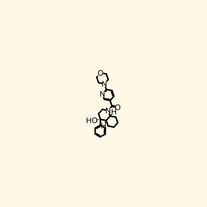 O=C(c1ccc(N2CCOCC2)nc1)N1CC[C@](O)(c2ccccc2)[C@H]2CCCC[C@H]21